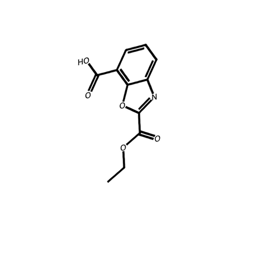 CCOC(=O)c1nc2cccc(C(=O)O)c2o1